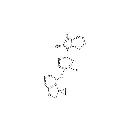 O=c1[nH]c2ccccc2n1-c1ccc(Oc2cccc3c2C2(CC2)CO3)c(F)c1